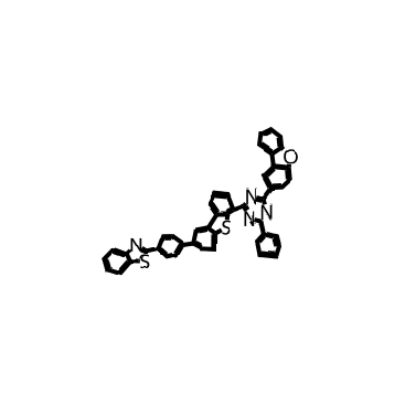 c1ccc(-c2nc(-c3ccc4oc5ccccc5c4c3)nc(-c3cccc4c3sc3ccc(-c5ccc(-c6nc7ccccc7s6)cc5)cc34)n2)cc1